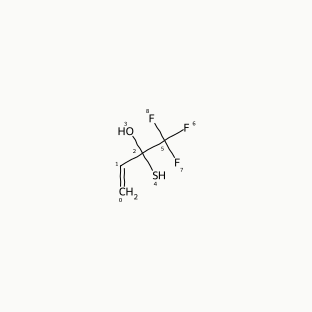 C=CC(O)(S)C(F)(F)F